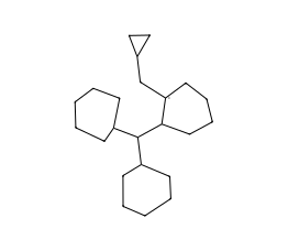 C1CCC(C(C2CCCCC2)C2CCCC[C]2CC2CC2)CC1